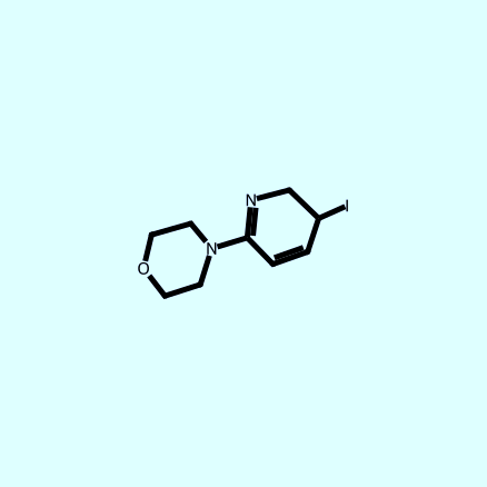 IC1C=CC(N2CCOCC2)=NC1